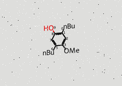 CCCCc1cc(OC)c(CCCC)cc1O